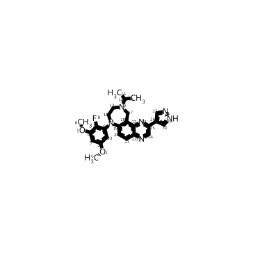 COc1cc(OC)c(F)c(N2CCN(C(C)C)Cc3c2ccc2ncc(-c4cn[nH]c4)nc32)c1